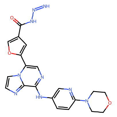 N=NNC(=O)c1coc(-c2cnc(Nc3ccc(N4CCOCC4)nc3)c3nccn23)c1